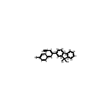 C#C/C=C(\C=C1\C=CC(I)=CC1)c1ccc2c(c1)C(C)(C)c1ccccc1-2